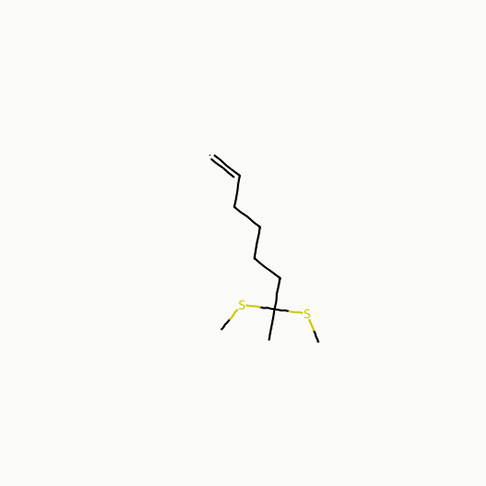 [CH]=CCCCCC(C)(SC)SC